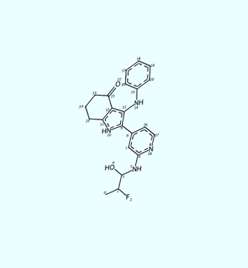 CC(F)C(O)Nc1cc(-c2[nH]c3c(c2Nc2ccccc2)C(=O)CCC3)ccn1